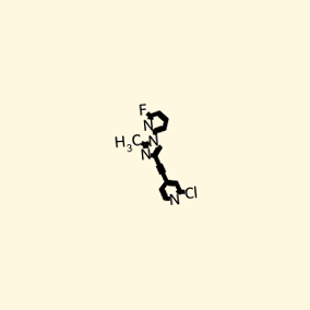 Cc1nc(C#Cc2ccnc(Cl)c2)cn1-c1cccc(F)n1